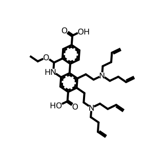 C=CCCN(CCC=C)CCc1c(C(=O)O)cc2c(c1CCN(CCC=C)CCC=C)-c1ccc(C(=O)O)cc1C(OCC)N2